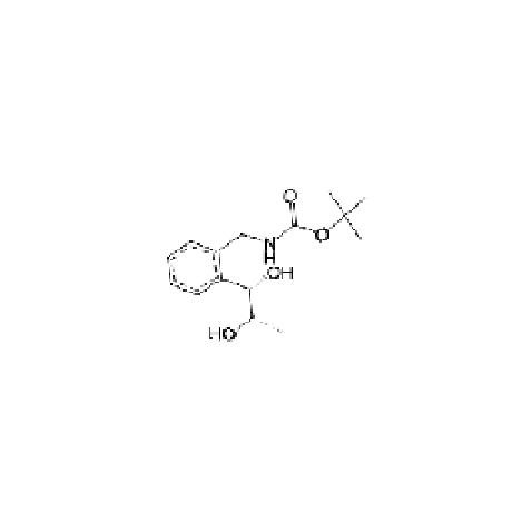 C[C@H](O)[C@@H](O)c1ccccc1CNC(=O)OC(C)(C)C